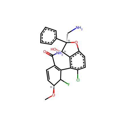 CO[C@H]1C=CC(C(N)=O)=C(c2c(Cl)ccc3c2[C@H](O)[C@@](CN)(c2ccccc2)O3)C1F